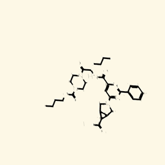 CCCCOC(=O)N1CCN(C(=O)[C@H](CCCC)NC(=O)c2cc(N3CC4C(C3)C4C(=O)O)nc(-c3ccccc3)n2)CC1